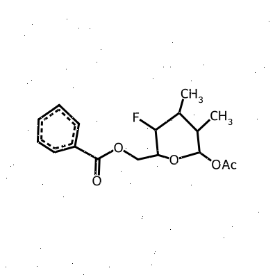 CC(=O)OC1OC(COC(=O)c2ccccc2)C(F)C(C)C1C